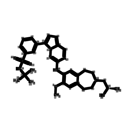 COc1cc2c(cc1Nc1ncc3ccc(-c4cccc(S(=O)(=O)NC(C)(C)C)c4)n3n1)CCN(C[C@H](C)O)CC2